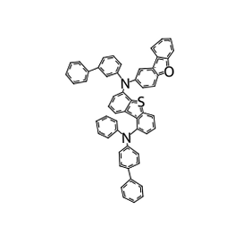 c1ccc(-c2ccc(N(c3ccccc3)c3cccc4sc5c(N(c6cccc(-c7ccccc7)c6)c6ccc7oc8ccccc8c7c6)cccc5c34)cc2)cc1